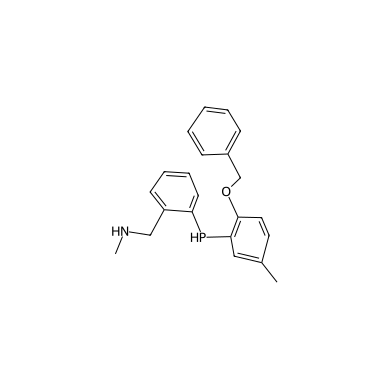 CNCc1ccccc1Pc1cc(C)ccc1OCc1ccccc1